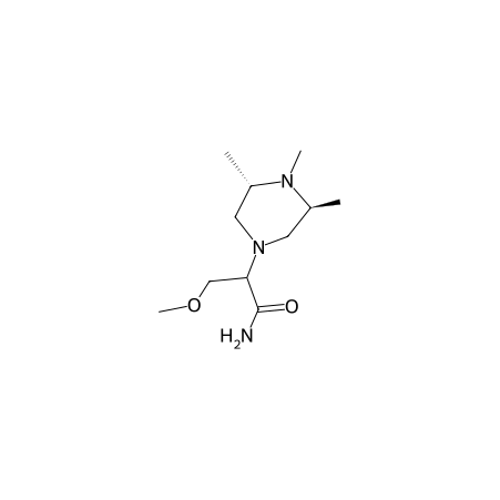 COCC(C(N)=O)N1C[C@H](C)N(C)[C@@H](C)C1